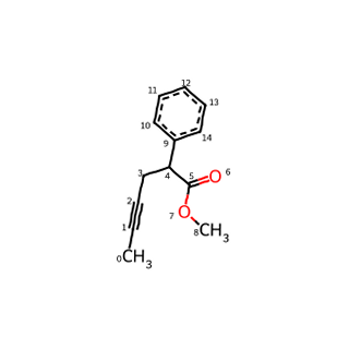 CC#CCC(C(=O)OC)c1ccccc1